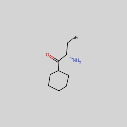 CC(C)C[C@H](N)C(=O)C1CCCCC1